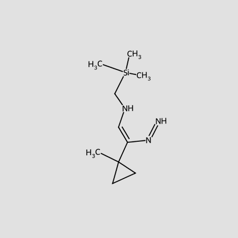 CC1(/C(=C/NC[Si](C)(C)C)N=N)CC1